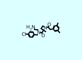 Cc1cc(C)cc(CC(=O)N2CCC2(C)C(=O)N(CCN)Cc2ccc(Cl)cc2)c1